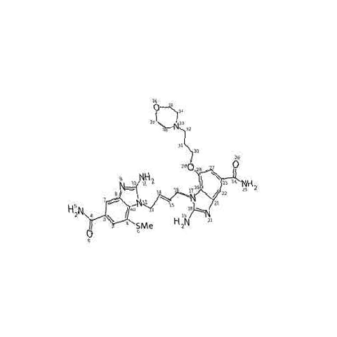 CSc1cc(C(N)=O)cc2nc(N)n(C/C=C/Cn3c(N)nc4cc(C(N)=O)cc(OCCCN5CCOCC5)c43)c12